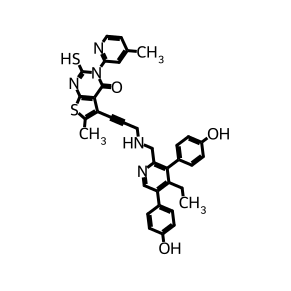 CCc1c(-c2ccc(O)cc2)cnc(CNCC#Cc2c(C)sc3nc(S)n(-c4cc(C)ccn4)c(=O)c23)c1-c1ccc(O)cc1